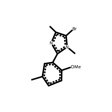 COc1ccc(C)cc1-c1nc(C)c(Br)n1C